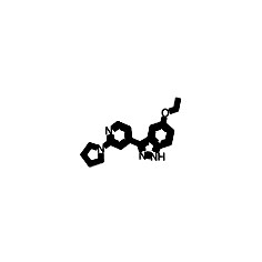 CCOc1ccc2[nH]nc(-c3ccnc(N4CCCC4)c3)c2c1